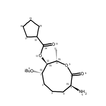 CC(C)CO[C@H]1CCC[C@H](N)C(=O)O[C@@H](C)[C@@H]1OC(=O)C1CCCC1